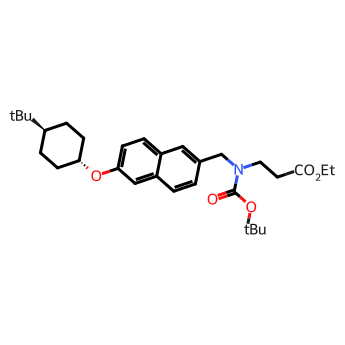 CCOC(=O)CCN(Cc1ccc2cc(O[C@H]3CC[C@H](C(C)(C)C)CC3)ccc2c1)C(=O)OC(C)(C)C